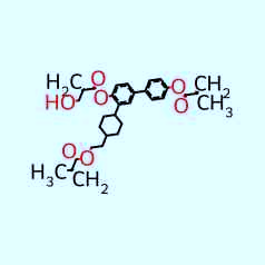 C=C(C)C(=O)OCCC1CCC(c2cc(-c3ccc(OC(=O)C(=C)C)cc3)ccc2OC(=O)C(=C)CO)CC1